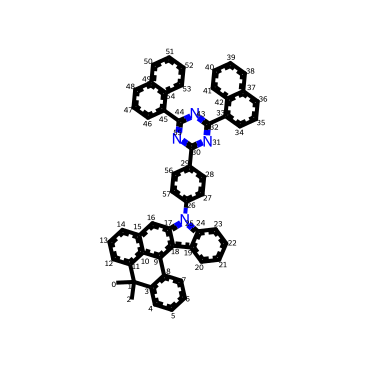 CC1(C)c2ccccc2-c2c3c1cccc3cc1c2c2ccccc2n1-c1ccc(-c2nc(-c3cccc4ccccc34)nc(-c3cccc4ccccc34)n2)cc1